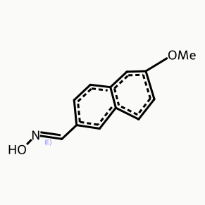 COc1ccc2cc(/C=N/O)ccc2c1